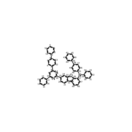 c1ccc(-c2ccc(-c3cc(-c4ccccc4)nc(-c4ccc5c(c4)oc4c(N(c6ccccc6)c6ccc(-c7ccccc7)cc6)cccc45)n3)cc2)cc1